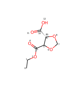 CCOC(=O)C1OCO[C@H]1C(=O)O